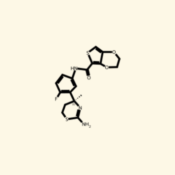 C[C@@]1(c2cc(NC(=O)c3scc4c3OCCO4)ccc2F)CCSC(N)=N1